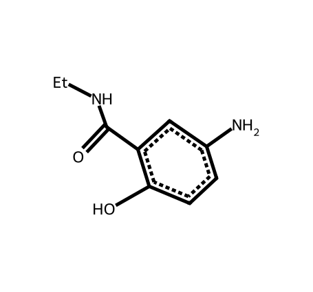 CCNC(=O)c1cc(N)ccc1O